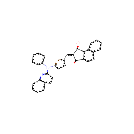 O=C1/C(=C\c2ccc(N(c3ccccc3)c3ccc4ccccc4n3)s2)C(=O)c2c1ccc1ccccc21